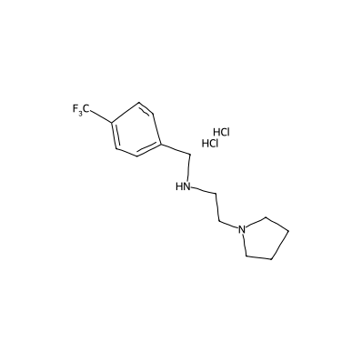 Cl.Cl.FC(F)(F)c1ccc(CNCCN2CCCC2)cc1